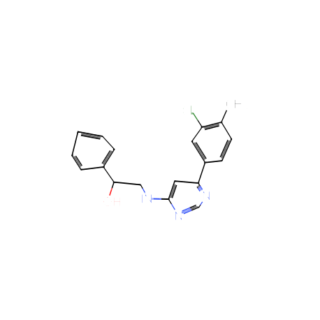 Cc1ccc(-c2cc(NCC(O)c3ccccc3)ncn2)cc1Cl